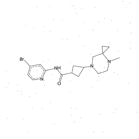 CN1CCN(C2CC(C(=O)Nc3cc(Br)ccn3)C2)CC12CC2